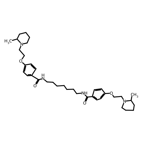 CC1CCCCN1CCOc1ccc(C(=O)NCCCCCCCNC(=O)c2ccc(OCCN3CCCCC3C)cc2)cc1